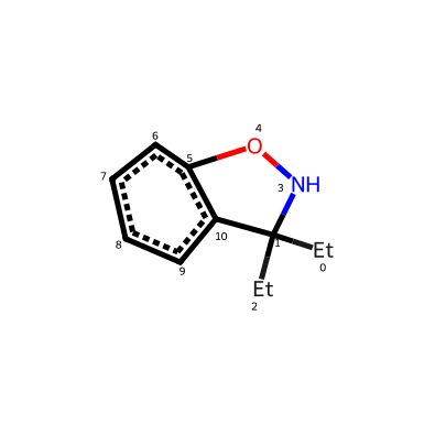 CCC1(CC)NOc2ccccc21